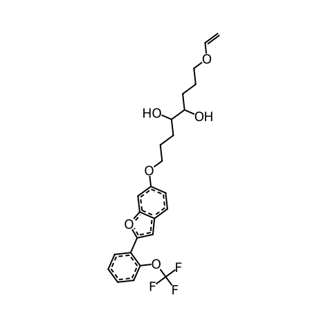 C=COCCCC(O)C(O)CCCOc1ccc2cc(-c3ccccc3OC(F)(F)F)oc2c1